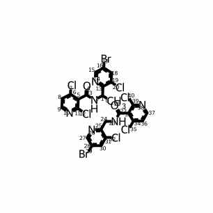 CC(NC(=O)c1c(Cl)ccnc1Cl)c1ncc(Br)cc1Cl.O=C(NCc1ncc(Br)cc1Cl)c1c(Cl)ccnc1Cl